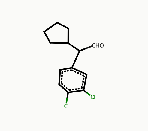 O=CC(c1ccc(Cl)c(Cl)c1)C1CCCC1